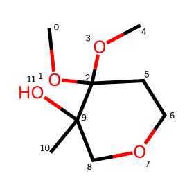 COC1(OC)CCOCC1(C)O